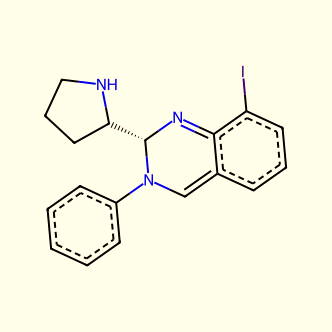 Ic1cccc2c1=N[C@@H](C1CCCN1)N(c1ccccc1)C=2